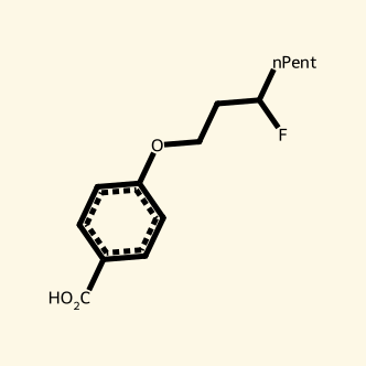 CCCCCC(F)CCOc1ccc(C(=O)O)cc1